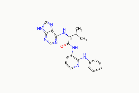 CC(C)[C@H](Nc1ncnc2[nH]cnc12)C(=O)Nc1cccnc1Nc1ccccc1